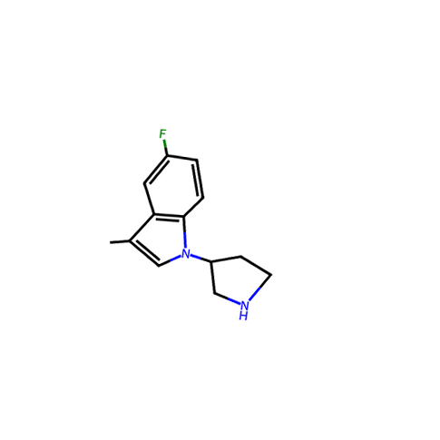 Cc1cn(C2CCNC2)c2ccc(F)cc12